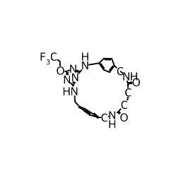 O=C1CCCC(=O)NCc2ccc(cc2)Nc2nc(nc(OCC(F)(F)F)n2)NCc2ccc(cc2)CN1